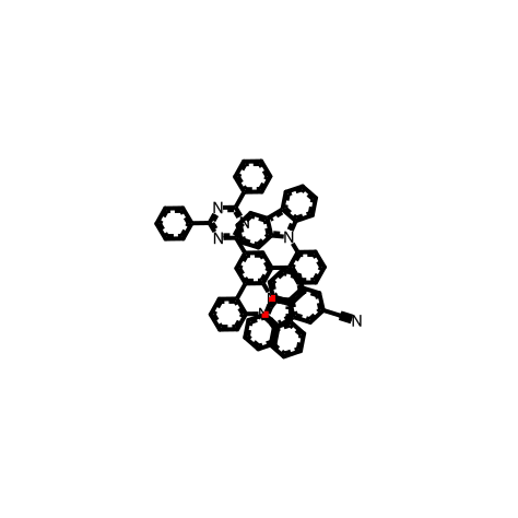 N#Cc1ccc2c(c1)c1ccccc1n2-c1c(-c2ccccc2-n2c3ccccc3c3ccccc32)cc(-c2nc(-c3ccccc3)nc(-c3ccccc3)n2)cc1-c1ccccc1-n1c2ccccc2c2ccccc21